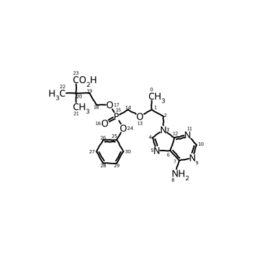 CC(Cn1cnc2c(N)ncnc21)OCP(=O)(OCCC(C)(C)C(=O)O)Oc1ccccc1